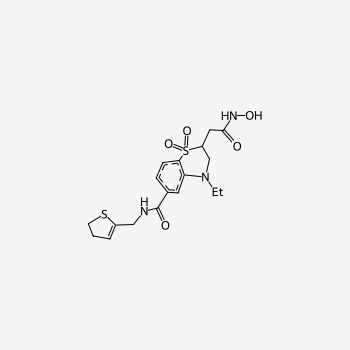 CCN1CC(CC(=O)NO)S(=O)(=O)c2ccc(C(=O)NCC3=CCCS3)cc21